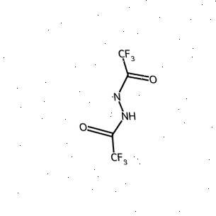 O=C([N]NC(=O)C(F)(F)F)C(F)(F)F